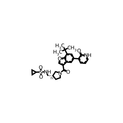 CC(C)(C)c1cc(-c2ccc[nH]c2=O)cc2c(C(=O)N3CC[C@H](CNS(=O)(=O)C4CC4)C3)coc12